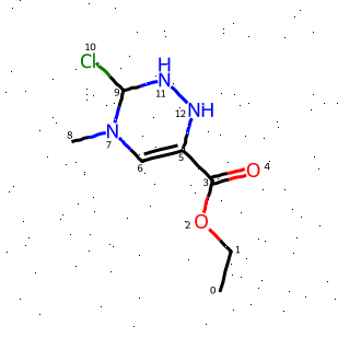 CCOC(=O)C1=CN(C)C(Cl)NN1